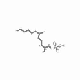 CCCCCCC(C)CCCC(C)COS(=O)(=O)O